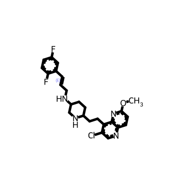 COc1ccc2ncc(Cl)c(CCC3CCC(NC/C=C/c4cc(F)ccc4F)CN3)c2n1